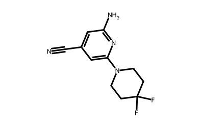 N#Cc1cc(N)nc(N2CCC(F)(F)CC2)c1